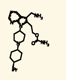 CC(C)[C@H]1CC[C@@H](N2CCC(n3c(CCOC(N)=O)c(CN)c4cccnc43)CC2)CC1